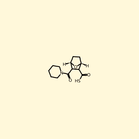 O=C(S)C1C(C(=O)N2CCCCC2)[C@@H]2CC[C@H]1O2